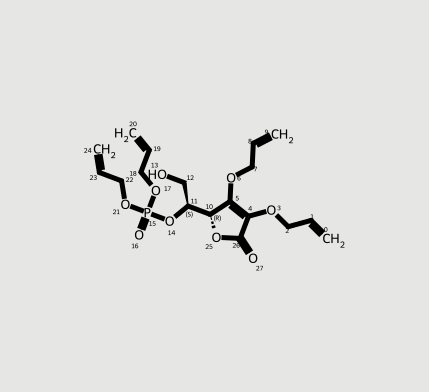 C=CCOC1=C(OCC=C)[C@@H]([C@H](CO)OP(=O)(OCC=C)OCC=C)OC1=O